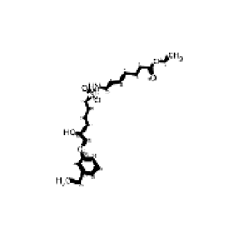 CCOC(=O)CCCCCCNS(=O)(=O)CCCCC(O)COc1cccc(CC)c1